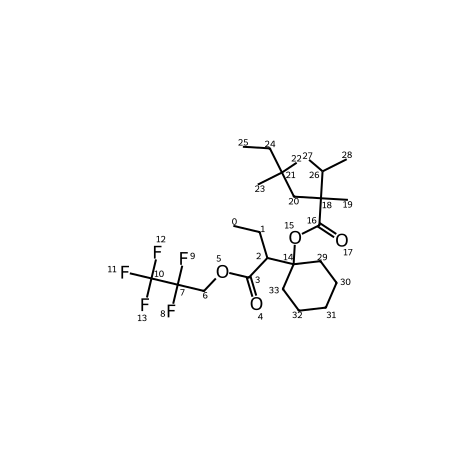 CCC(C(=O)OCC(F)(F)C(F)(F)F)C1(OC(=O)C(C)(CC(C)(C)CC)C(C)C)CCCCC1